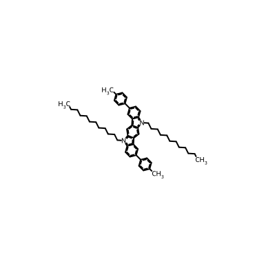 CCCCCCCCCCCCn1c2ccc(-c3ccc(C)cc3)cc2c2cc3c(cc21)c1cc(-c2ccc(C)cc2)ccc1n3CCCCCCCCCCCC